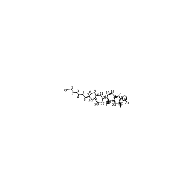 CCCCCCCC1CCC2CC(c3ccc4cc(OC)c(F)cc4c3F)CCC2C1